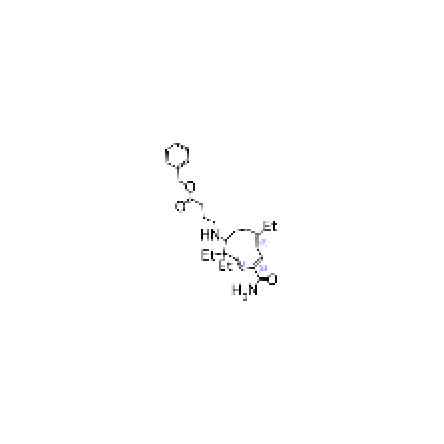 CC\C1=C/C=C(C(N)=O)\C=C\C(CC)(CC)C(NCCCC(=O)OCc2ccccc2)CC1